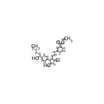 CCCCCC(O)c1ccc([C@@H]2[C@@H](CCCc3cccc(C(=O)OCC)c3)[C@H](Cl)C[C@H]2O)cc1